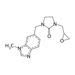 Cn1cnc2ccc(CN3CCN(CC4CO4)C3=O)cc21